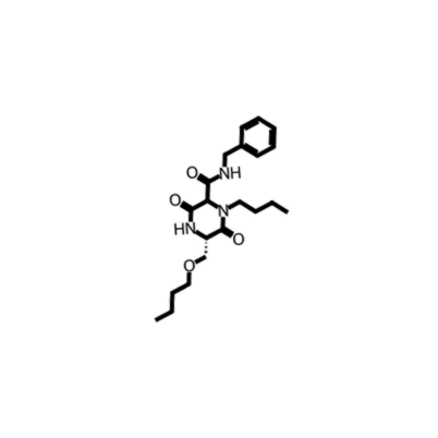 CCCCOC[C@@H]1NC(=O)C(C(=O)NCc2ccccc2)N(CCCC)C1=O